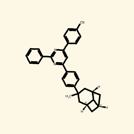 CC1(c2ccc(-c3cc(-c4ccc(C#N)cc4)nc(-c4ccccc4)n3)cc2)C[C@H]2C[C@H]3C[C@@H](C1)C32